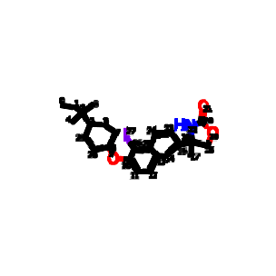 CCC(C)(C)C1CCC(Oc2ccc3cc(C4(C)COC(=O)N4)ccc3c2I)CC1